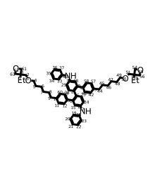 CCC1(COCCCCCCc2ccc(-c3cc(Nc4ccccc4)ccc3-c3ccc(Nc4ccccc4)cc3-c3ccc(CCCCCCOCC4(CC)COC4)cc3)cc2)COC1